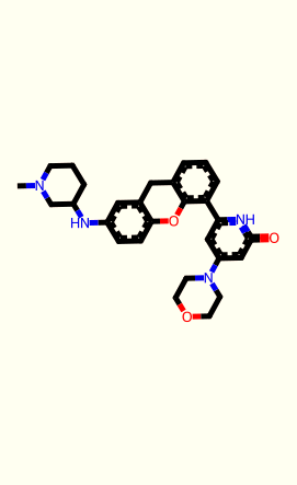 CN1CCCC(Nc2ccc3c(c2)Cc2cccc(-c4cc(N5CCOCC5)cc(=O)[nH]4)c2O3)C1